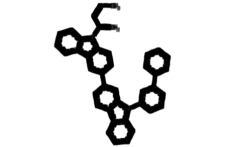 C=C(/C=C\C)n1c2ccccc2c2cc(-c3ccc4c5ccccc5n(-c5cccc(-c6ccccc6)c5)c4c3)ccc21